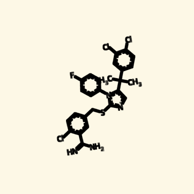 CC(C)(c1ccc(Cl)c(Cl)c1)c1cnc(SCc2ccc(Cl)c(C(=N)N)c2)n1-c1ccc(F)cc1